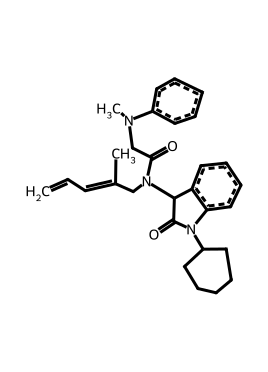 C=C/C=C(\C)CN(C(=O)CN(C)c1ccccc1)C1C(=O)N(C2CCCCC2)c2ccccc21